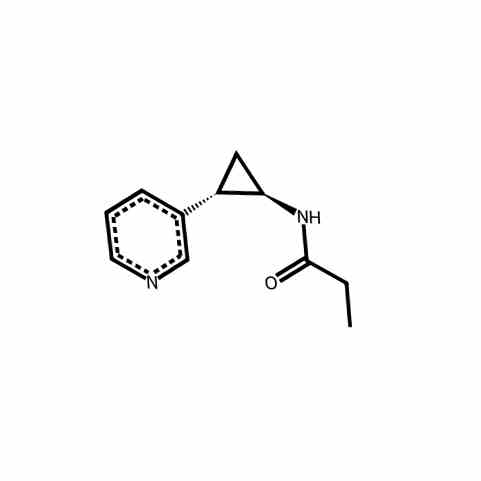 CCC(=O)N[C@@H]1C[C@H]1c1cccnc1